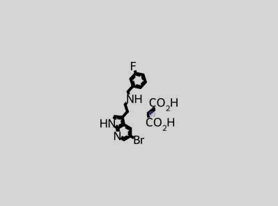 Fc1cccc(CNCCc2c[nH]c3ncc(Br)cc23)c1.O=C(O)/C=C/C(=O)O